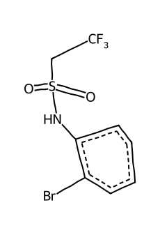 O=S(=O)(CC(F)(F)F)Nc1ccccc1Br